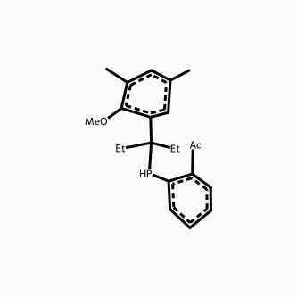 CCC(CC)(Pc1ccccc1C(C)=O)c1cc(C)cc(C)c1OC